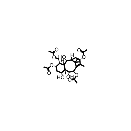 CC(=O)OC[C@H]1[C@H]2[C@H](O)[C@@H]3C[C@H](OC(C)=O)C(C)=C([C@@H](OC(C)=O)[C@H](O)[C@]2(C)[C@@H](O)C[C@@H]1OC(C)=O)C3(C)C